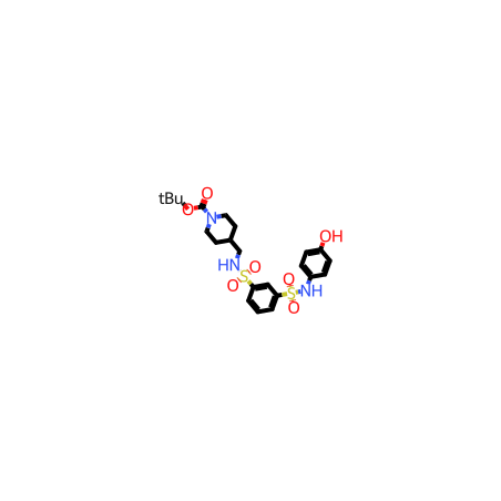 CC(C)(C)OC(=O)N1CCC(CNS(=O)(=O)c2cccc(S(=O)(=O)Nc3ccc(O)cc3)c2)CC1